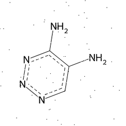 Nc1cnnnc1N